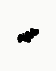 CS(=O)(=O)OC[C@@H]1OC(=O)N2c3ccc(N4CCOCC4=O)cc3OC[C@H]12